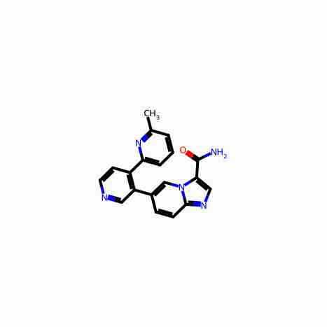 Cc1cccc(-c2ccncc2-c2ccc3ncc(C(N)=O)n3c2)n1